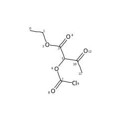 CCOC(=O)C(OC(=O)Cl)C(C)=O